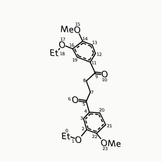 CCOc1cc(C(=O)CCC(=O)c2ccc(OC)c(OCC)c2)ccc1OC